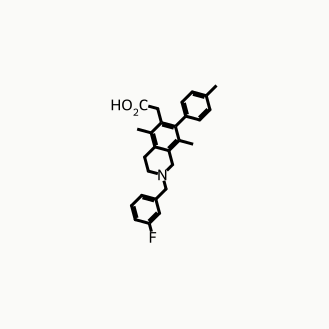 Cc1ccc(-c2c(C)c3c(c(C)c2CC(=O)O)CCN(Cc2cccc(F)c2)C3)cc1